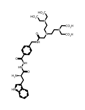 N[C@H](Cc1c[nH]c2ccccc12)C(=O)NNC(=O)c1ccc(CNC(=O)CN(CCN(CC(=O)O)CC(=O)O)CCN(CC(=O)O)CC(=O)O)cc1